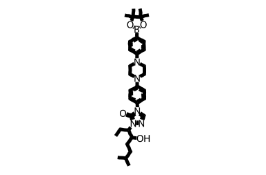 CCC(C(O)CCC(C)C)n1ncn(-c2ccc(N3CCN(c4ccc(B5OC(C)(C)C(C)(C)O5)cc4)CC3)cc2)c1=O